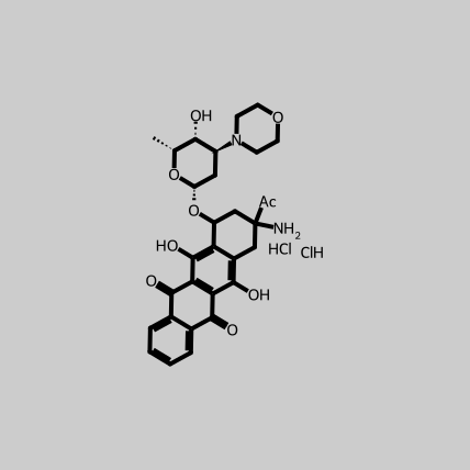 CC(=O)C1(N)Cc2c(O)c3c(c(O)c2C(O[C@H]2C[C@H](N4CCOCC4)[C@@H](O)[C@@H](C)O2)C1)C(=O)c1ccccc1C3=O.Cl.Cl